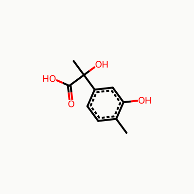 Cc1ccc(C(C)(O)C(=O)O)cc1O